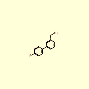 CC(C)(C)Cc1cccc(-c2ccc(F)cc2)c1